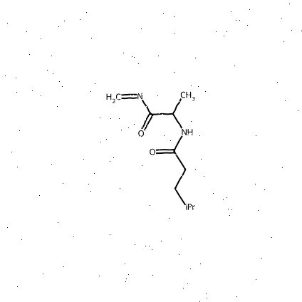 C=NC(=O)C(C)NC(=O)CCC(C)C